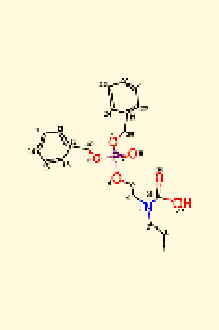 CCCN(CCOP(=O)(OCc1ccccc1)OCc1ccccc1)C(=O)O